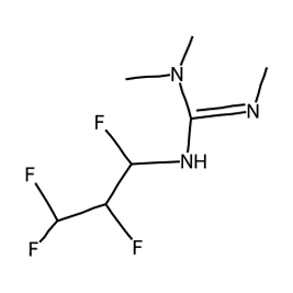 CN=C(NC(F)C(F)C(F)F)N(C)C